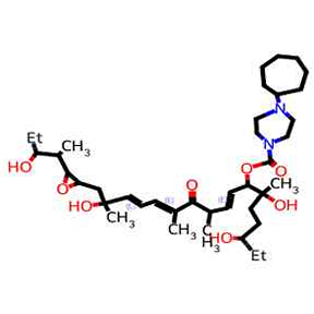 CCC(O)CCC(C)(O)C(/C=C/C(C)C(=O)/C(C)=C/C=C/C(C)(O)CC1OC1C(C)C(O)CC)OC(=O)N1CCN(C2CCCCCC2)CC1